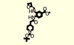 COC(=O)c1ccc(NC(=O)CC2CCN(C(=O)OC(C)(C)C)CC2)c(NC[C@@H]2CCO2)c1